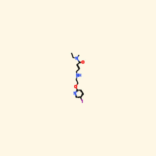 CCN(C)C(=O)/C=C/CNCCOc1ccc(I)cn1